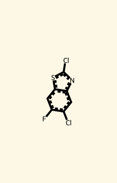 Fc1cc2sc(Cl)nc2cc1Cl